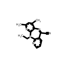 CCN1c2ncccc2C(C#N)=Nc2c(C)cc(C)nc21